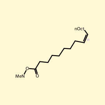 CCCCCCCC/C=C\CCCCCCCC(=O)ONC